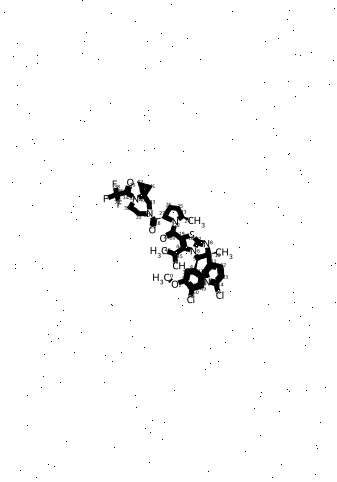 COc1cc([C@H]2N3C(=N[C@@]2(C)c2ccc(Cl)nc2)SC(C(=O)N2[C@H](C)CC[C@H]2C(=O)N2CCN(C(=O)C(F)(F)F)C4(CC4)C2)=C3C(C)C)ccc1Cl